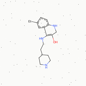 CCc1ccc2c(c1)C(NCCC1CCNCC1)=C(O)CN2